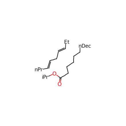 CCCCCCCCCCCCCCCC(=O)OC(C)C.[CH2]CC=CCC=CCCC